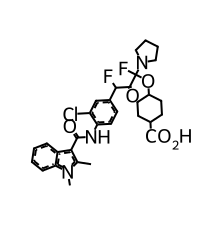 Cc1c(C(=O)Nc2ccc(C(F)C(=O)C(F)(OC3CCC(C(=O)O)CC3)N3CCCC3)cc2Cl)c2ccccc2n1C